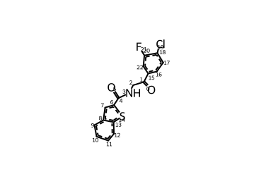 O=C(CNC(=O)c1cc2ccccc2s1)c1ccc(Cl)c(F)c1